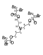 O=C(OCCCN(CCCOC(=O)C(Br)Br)CCCOC(=O)C(Br)Br)C(Br)Br